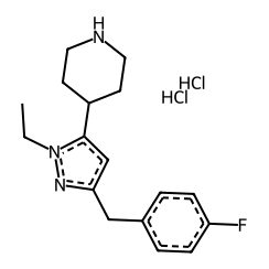 CCn1nc(Cc2ccc(F)cc2)cc1C1CCNCC1.Cl.Cl